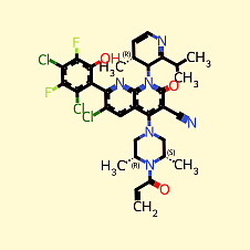 C=CC(=O)N1[C@H](C)CN(c2c(C#N)c(=O)n(C3C(C(C)C)=NC=C[C@H]3C)c3nc(-c4c(O)c(F)c(Cl)c(F)c4Cl)c(Cl)cc23)C[C@@H]1C